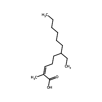 CCCCCCC(CC)CCC=C(C)C(=O)O